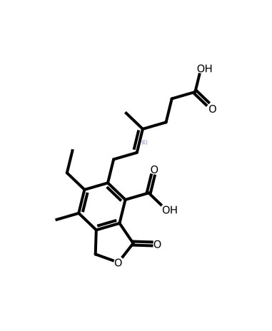 CCc1c(C)c2c(c(C(=O)O)c1C/C=C(\C)CCC(=O)O)C(=O)OC2